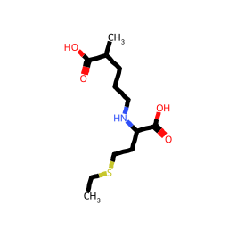 CCSCCC(NCCCC(C)C(=O)O)C(=O)O